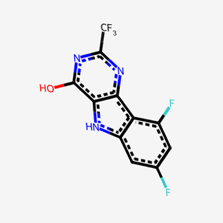 Oc1nc(C(F)(F)F)nc2c1[nH]c1cc(F)cc(F)c12